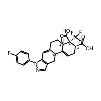 C[C@]12Cc3cnn(-c4ccc(F)cc4)c3C=C1CC[C@@H]1C2=CC[C@H](C(=O)O)[C@@]1(C(=O)O)C(F)(F)F